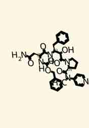 CN(C(=O)[C@@H]1CCCN1C(=O)C(O)[C@H](Cc1ccccc1)NC(=O)[C@H](CC(N)=O)NC(=O)OCc1ccccc1)c1ccncc1